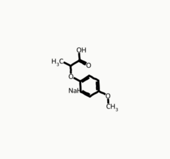 COc1ccc(OC(C)C(=O)O)cc1.[NaH]